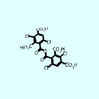 O=C(O)c1cc(Cl)c(C(=O)OC(=O)c2c(Cl)cc(C(=O)O)c(Cl)c2C(=O)O)c(C(=O)O)c1Cl